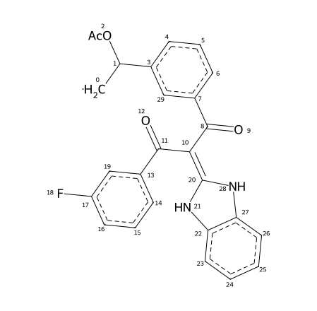 [CH2]C(OC(C)=O)c1cccc(C(=O)C(C(=O)c2cccc(F)c2)=C2Nc3ccccc3N2)c1